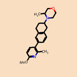 COc1ccc(-c2ccc3c(c2)CCC(N2CCOCC2C)C3)c(C)n1